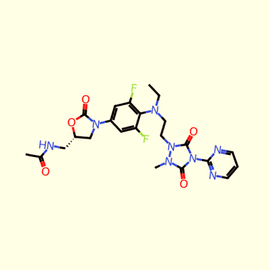 CCN(CCn1c(=O)n(-c2ncccn2)c(=O)n1C)c1c(F)cc(N2C[C@H](CNC(C)=O)OC2=O)cc1F